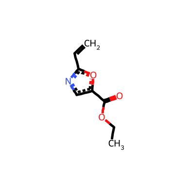 C=Cc1ncc(C(=O)OCC)o1